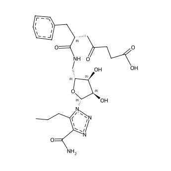 CCCc1c(C(N)=O)nnn1[C@@H]1O[C@H](CNC(=O)[C@@H](CC(=O)CCC(=O)O)Cc2ccccc2)[C@@H](O)[C@H]1O